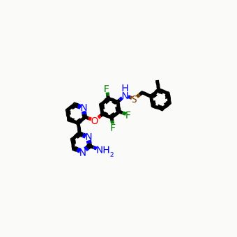 Cc1ccccc1CSNc1c(F)cc(Oc2ncccc2-c2ccnc(N)n2)c(F)c1F